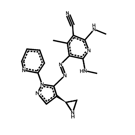 CNc1nc(NC)c(/N=N/c2c([C@H]3CN3)cnn2-c2ccccn2)c(C)c1C#N